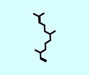 C=CC(C)CCCC(C)CCC=C(C)C